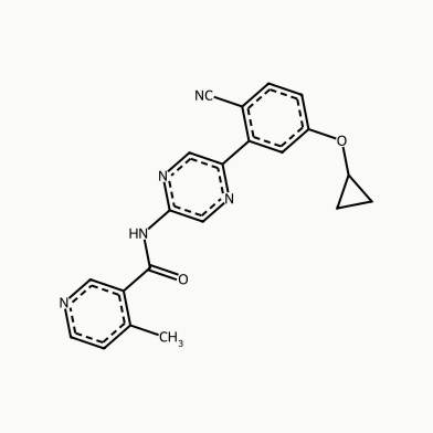 Cc1ccncc1C(=O)Nc1cnc(-c2cc(OC3CC3)ccc2C#N)cn1